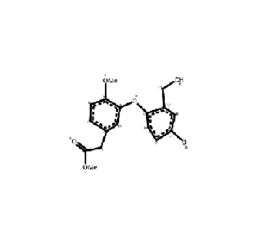 COC(=O)Cc1ccc(OC)c(Oc2ccc(Br)cc2CO)c1